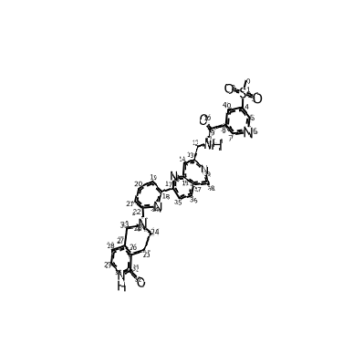 CS(=O)(=O)c1cncc(C(=O)NCc2cc3nc(-c4cccc(N5CCc6c(cc[nH]c6=O)C5)n4)ccc3cn2)c1